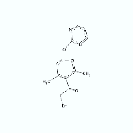 Cc1cc(Oc2ncccn2)cc(C)c1C(=O)CBr